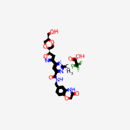 Cc1nc(C(=O)NCc2ccc3c(c2)NC(=O)CO3)cc(C2=NOC([C@H]3CO[C@H](CO)CO3)C2)n1.O=C(O)C(F)(F)F